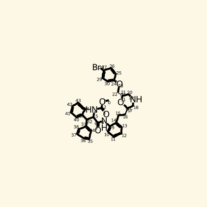 COC(=O)NC(C(=O)Nc1ccccc1CC[C@@H]1CNC[C@@H](COc2ccc(Br)cc2)O1)C(c1ccccc1)c1ccccc1